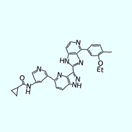 CCOc1cc(-c2nccc3[nH]c(-c4n[nH]c5ccc(-c6cncc(NC(=O)C7CC7)c6)nc45)nc23)ccc1C